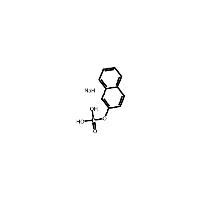 O=P(O)(O)Oc1ccc2ccccc2c1.[NaH]